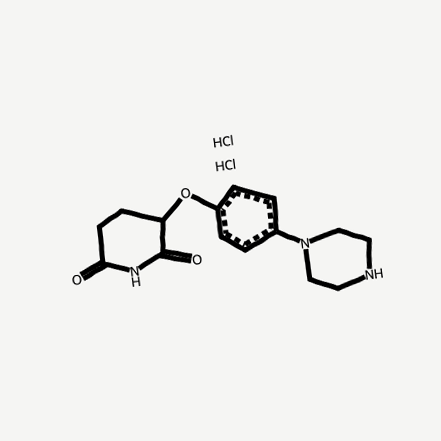 Cl.Cl.O=C1CCC(Oc2ccc(N3CCNCC3)cc2)C(=O)N1